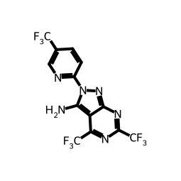 Nc1c2c(C(F)(F)F)nc(C(F)(F)F)nc2nn1-c1ccc(C(F)(F)F)cn1